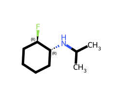 CC(C)N[C@@H]1CCCC[C@H]1F